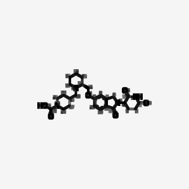 O=C1CCC(N2Cc3cc(OC[C@@H]4CCCCN4CC4CCN(C(=O)O)CC4)ccc3C2=O)C(=O)N1